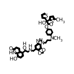 Cc1ccc([C@](O)(C(=O)O[C@@H]2CC=C(N(C)CCCn3nnc4cc(CNC[C@H](O)c5ccc(O)c6[nH]c(=O)ccc56)c5c(c43)OCO5)CC2)c2cccs2)s1